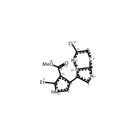 CCc1[nH]cc(-c2cnc3ccc(Cl)nn23)c1C(=O)OC